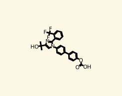 CC(C)(O)c1cn(-c2ccc(-c3ccc(OC(=O)O)cc3)cc2)c(-c2ccccc2C(F)(F)F)n1